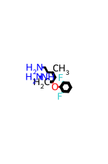 C=C(/C=C(/C)C(CN)NN)Oc1c(F)cccc1F